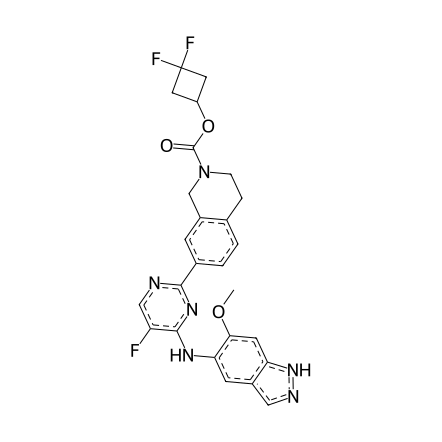 COc1cc2[nH]ncc2cc1Nc1nc(-c2ccc3c(c2)CN(C(=O)OC2CC(F)(F)C2)CC3)ncc1F